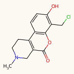 CN1CCc2c(c(=O)oc3c(CCl)c(O)ccc23)C1